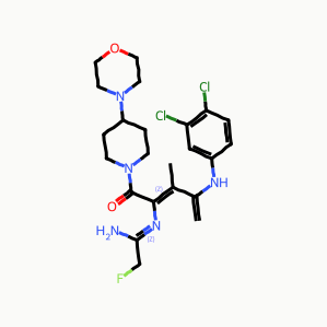 C=C(Nc1ccc(Cl)c(Cl)c1)/C(C)=C(\N=C(/N)CF)C(=O)N1CCC(N2CCOCC2)CC1